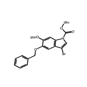 COc1cc2c(cc1OCc1ccccc1)c(Br)cn2C(=O)OC(C)(C)C